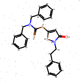 O=c1cc(SC(=S)N(Cc2ccccc2)Cc2ccccc2)sn1CCc1ccccc1